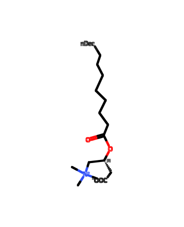 CCCCCCCCCCCCCCCCCC(=O)O[C@H](CC(=O)[O-])C[N+](C)(C)C